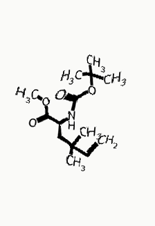 C=CC(C)(C)C[C@H](NC(=O)OC(C)(C)C)C(=O)OC